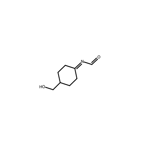 O=CN=C1CCC(CO)CC1